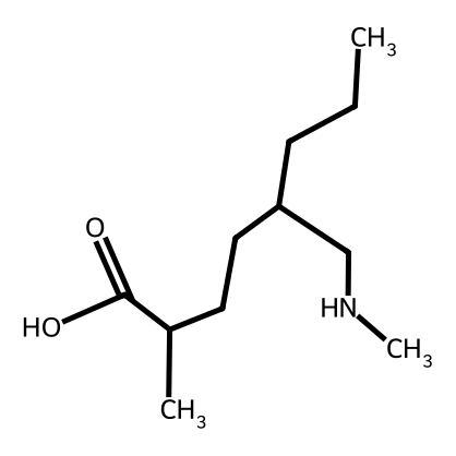 CCCC(CCC(C)C(=O)O)CNC